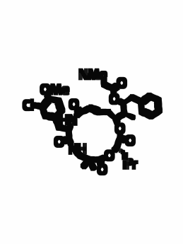 CNCC(=O)O[C@@H](Cc1ccccc1)[C@@H](C)[C@@H]1C/C=C/C(=O)NC(Cc2ccc(OC)c(Cl)c2)C(=O)NCC(C)(C)C(=O)O[C@@H](CC(C)C)C(=O)O1